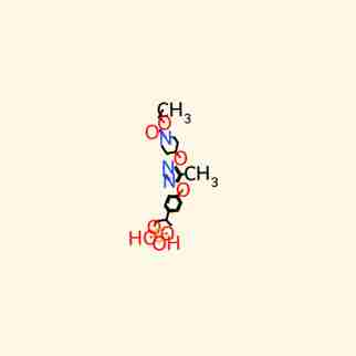 CCOC(=O)N1CCC(Oc2ncnc(Oc3ccc(C4COS(O)(O)OC4)cc3)c2C)CC1